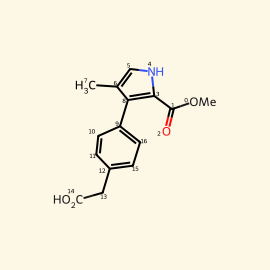 COC(=O)c1[nH]cc(C)c1-c1ccc(CC(=O)O)cc1